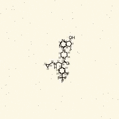 C[C@@H]1C[C@@H](O)c2ncnc(N3CCN(C(=O)C(CNCC4CC4)c4ccc(C(F)(F)F)c(F)c4)CC3)c21